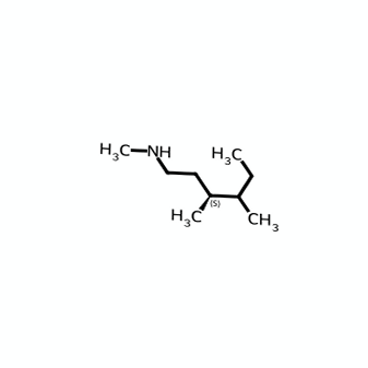 CCC(C)[C@@H](C)CCNC